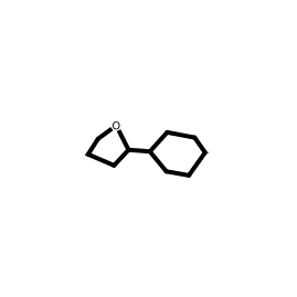 [CH]1CCC(C2CCCO2)CC1